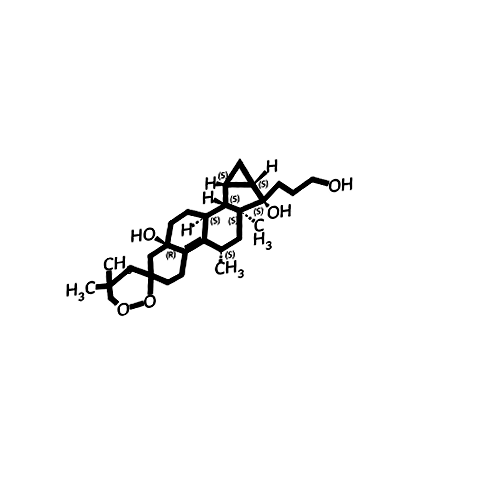 C[C@H]1C[C@@]2(C)[C@@H]([C@@H]3C[C@@H]3[C@@]2(O)CCCO)[C@@H]2CC[C@@]3(O)CC4(CCC3=C21)CC(C)(C)COO4